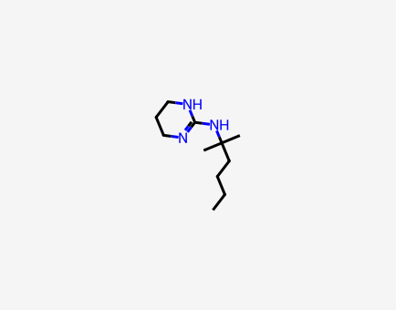 CCCCC(C)(C)NC1=NCCCN1